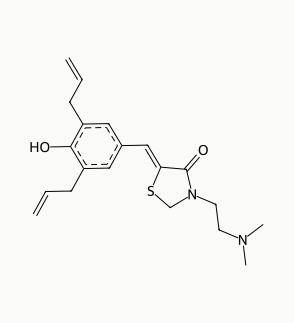 C=CCc1cc(/C=C2\SCN(CCN(C)C)C2=O)cc(CC=C)c1O